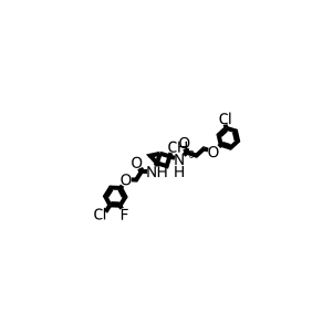 CC1(NC(=O)CCOc2cccc(Cl)c2)CC2(NC(=O)COc3ccc(Cl)c(F)c3)CC12